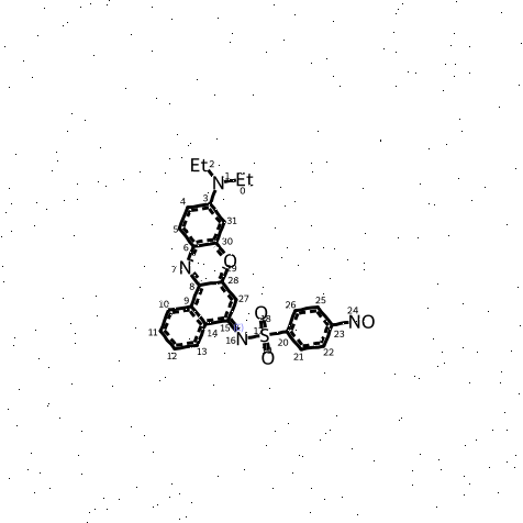 CCN(CC)c1ccc2nc3c4ccccc4/c(=N/S(=O)(=O)c4ccc(N=O)cc4)cc-3oc2c1